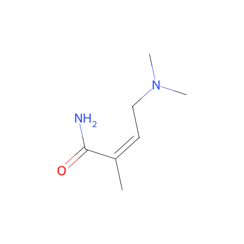 CC(=CCN(C)C)C(N)=O